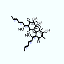 C/C=C/C=C/C(O)=C1/C(=O)[C@]2(C)[C@@](O)(O[C@]3(C)C(O)=C(C)C(=O)\C(=C(O)/C=C/C=C/C)[C@]23C)[C@@](C)(O)C1=O